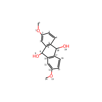 COc1ccc2c(c1)C(O)c1cc(OC)ccc1C2O